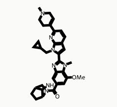 COc1cc(C(=O)N2CC3CCC2C3N)cc2nc(-c3cc4ccc(C5=CCN(C)CC5)nc4n3CC3CC3)n(C)c12